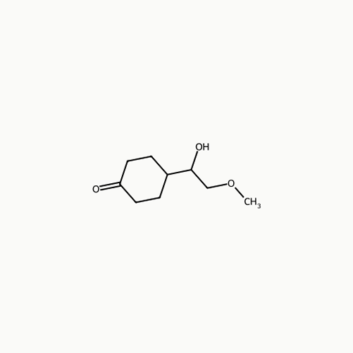 COCC(O)C1CCC(=O)CC1